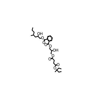 CCCC(C)CC(O)COC(=O)c1ccccc1C(=O)OCC(O)COC(=O)CCC(=O)OC(C)(CC)CC